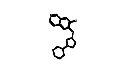 Clc1cc2cnccc2cc1S[C@H]1CCN(C2CCCCC2)C1